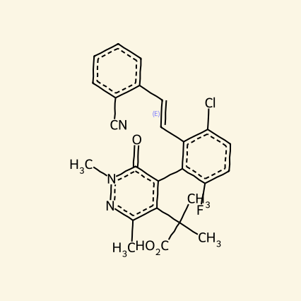 Cc1nn(C)c(=O)c(-c2c(F)ccc(Cl)c2/C=C/c2ccccc2C#N)c1C(C)(C)C(=O)O